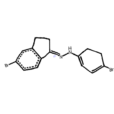 BrC1=CC=C(N/N=C2\CCc3cc(Br)ccc32)CC1